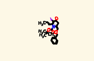 CCCC1=C(I)C(=O)CC(COCc2ccccc2)N1C(=O)OC(C)(C)C